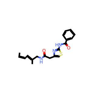 C/C=C\C=C(/C)CNC(=O)Cc1csc(NC(=O)c2ccccc2)n1